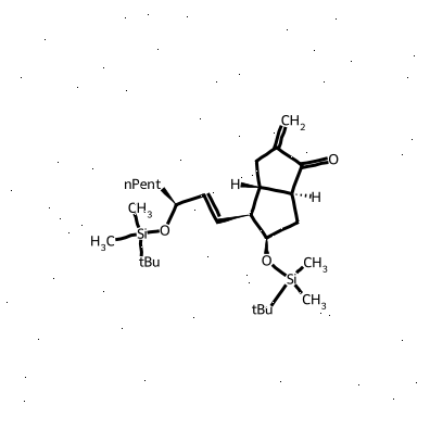 C=C1C[C@H]2[C@H](C=C[C@H](CCCCC)O[Si](C)(C)C(C)(C)C)[C@H](O[Si](C)(C)C(C)(C)C)C[C@@H]2C1=O